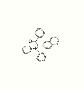 O=C(c1ccccc1)C(c1ccc2ccccc2c1)P(c1ccccc1)c1ccccc1